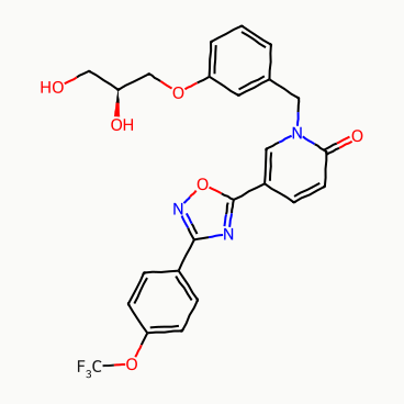 O=c1ccc(-c2nc(-c3ccc(OC(F)(F)F)cc3)no2)cn1Cc1cccc(OC[C@@H](O)CO)c1